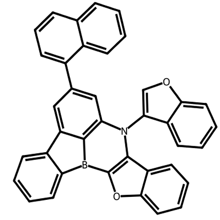 c1ccc2c(c1)B1c3oc4ccccc4c3N(c3coc4ccccc34)c3cc(-c4cccc5ccccc45)cc-2c31